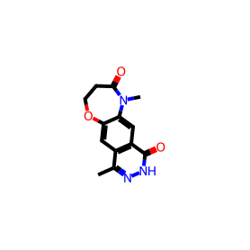 Cc1n[nH]c(=O)c2cc3c(cc12)OCCC(=O)N3C